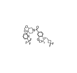 COc1cc(C(=O)N2CC[C@]3(c4cccc(C(F)(F)F)n4)OCOC3C2)ccc1OCC1CC(F)(F)C1